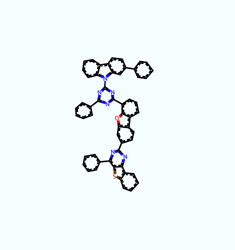 c1ccc(-c2ccc3c4ccccc4n(-c4nc(-c5ccccc5)nc(-c5cccc6c5oc5cc(-c7nc(-c8ccccc8)c8sc9ccccc9c8n7)ccc56)n4)c3c2)cc1